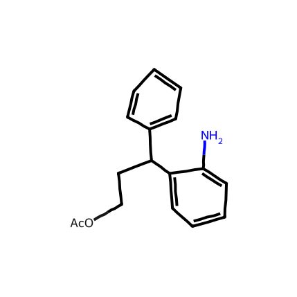 CC(=O)OCCC(c1ccccc1)c1ccccc1N